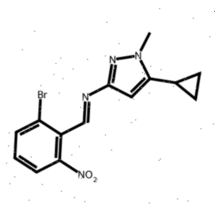 Cn1nc(/N=C/c2c(Br)cccc2[N+](=O)[O-])cc1C1CC1